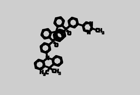 Cc1ncc(-c2cccc(P(=O)(c3ccccc3)c3ccccc3Cc3ccccc3P(=O)(c3ccccc3)c3cccc(N4c5ccccc5C(C)(C)c5ccccc54)c3)c2)cn1